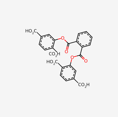 O=C(O)c1ccc(C(=O)O)c(OC(=O)c2ccccc2C(=O)Oc2cc(C(=O)O)ccc2C(=O)O)c1